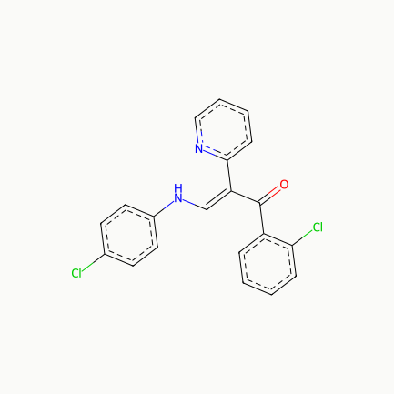 O=C(/C(=C/Nc1ccc(Cl)cc1)c1ccccn1)c1ccccc1Cl